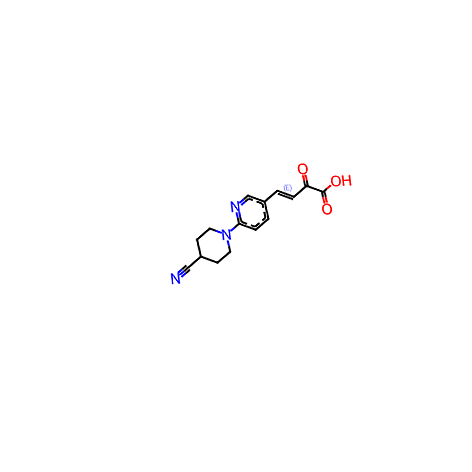 N#CC1CCN(c2ccc(/C=C/C(=O)C(=O)O)cn2)CC1